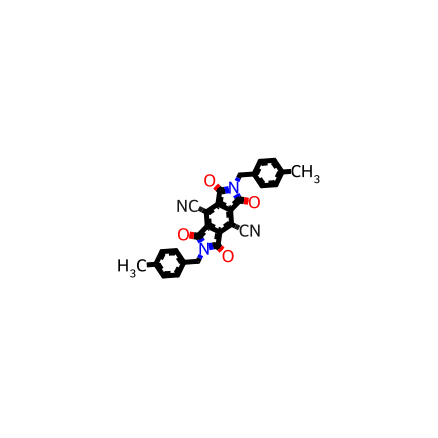 Cc1ccc(Cn2c(=O)c3c(C#N)c4c(=O)n(Cc5ccc(C)cc5)c(=O)c4c(C#N)c3c2=O)cc1